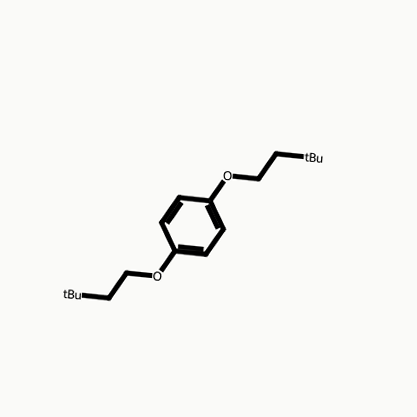 CC(C)(C)CCOc1ccc(OCCC(C)(C)C)cc1